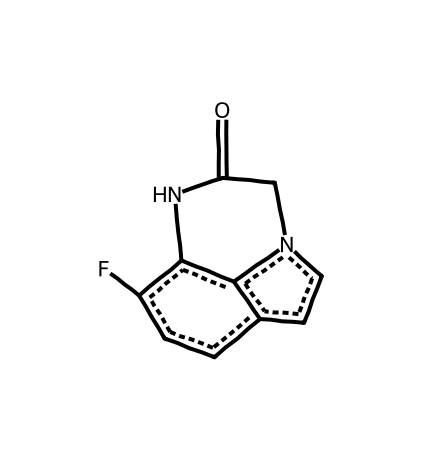 O=C1Cn2ccc3ccc(F)c(c32)N1